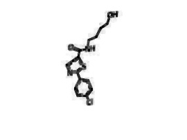 O=C(NCCCCO)c1cnc(-c2ccc(Cl)cc2)s1